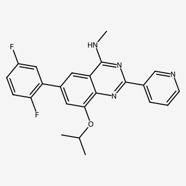 CNc1nc(-c2cccnc2)nc2c(OC(C)C)cc(-c3cc(F)ccc3F)cc12